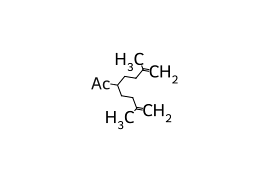 C=C(C)CCC(CCC(=C)C)C(C)=O